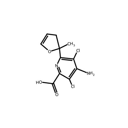 CC1(c2nc(C(=O)O)c(Cl)c(N)c2Cl)CC=CO1